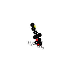 CCC1CC(C)CC(C)C12c1ccccc1-c1ccc(-c3c4ccccc4c(-c4ccc(-c5ccc6c(c5)sc5ccccc56)cc4)c4ccccc34)cc12